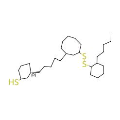 CCCCCC1CCCCC1SSC1CCCCCC(CCCCC[C@@H]2CCCC(S)C2)C1